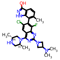 Cc1ccc2c(O)n[nH]c2c1-c1c(Cl)cc2c(N3C[C@@H](C)NC[C@@H]3C)nc(N3CC(N(C)C)C3)nc2c1F